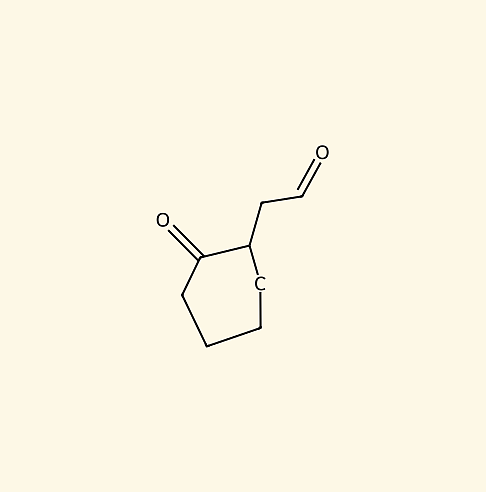 O=CCC1CCCCC1=O